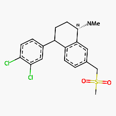 CN[C@H]1CCC(c2ccc(Cl)c(Cl)c2)c2ccc(CS(C)(=O)=O)cc21